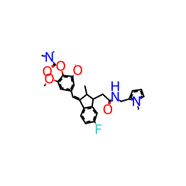 COc1cc(C=C2c3ccc(F)cc3C(CC(=O)NCc3cccn3C)C2C)cc(OC)c1OC(=O)N(C)C